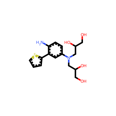 Nc1ccc(N(CC(O)CO)CC(O)CO)cc1-c1cccs1